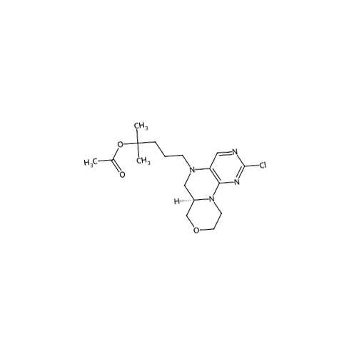 CC(=O)OC(C)(C)CCCN1C[C@@H]2COCCN2c2nc(Cl)ncc21